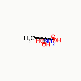 CCCCCCCCCCCC(=O)O.NB(O)O